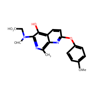 COc1ccc(Oc2ccc3c(O)c(N(C=O)CC(=O)O)nc(C)c3n2)cc1